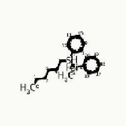 CCCCCC[SiH](c1ccccc1)[SiH](C)c1ccccc1